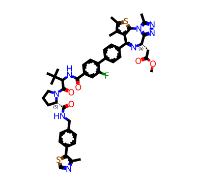 COC(=O)C[C@@H]1N=C(c2ccc(-c3ccc(C(=O)NC(C(=O)N4CCC[C@H]4C(=O)NCc4ccc(-c5scnc5C)cc4)C(C)(C)C)cc3F)cc2)c2c(sc(C)c2C)-n2c(C)nnc21